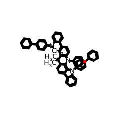 CN(c1ccc(-c2ccccc2)cc1)c1ccccc1-c1ccc2c(c1)C(C)(C)c1ccc3c4ccccc4n(-c4ccc(-c5ccccc5)cc4)c3c1N2c1ccccc1